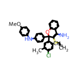 C=CSC1=C(N)c2ccccc2OC1(c1ccc(Nc2ccc(OC)cc2)cc1)c1cc(C)c(Cl)cc1C